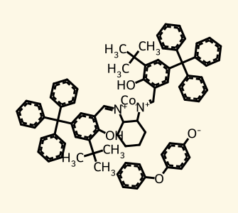 CC(C)(C)c1cc(C(c2ccccc2)(c2ccccc2)c2ccccc2)cc(C=[N+]2[Co][N+](=Cc3cc(C(c4ccccc4)(c4ccccc4)c4ccccc4)cc(C(C)(C)C)c3O)C3CCCCC32)c1O.[O-]c1ccc(Oc2ccccc2)cc1